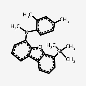 Cc1ccc(N(C)c2cccc3c2oc2c([Si](C)(C)C)cccc23)c(C)c1